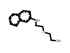 OCCOCCNc1ccc2ccccc2c1